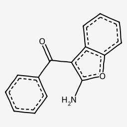 Nc1oc2ccccc2c1C(=O)c1ccccc1